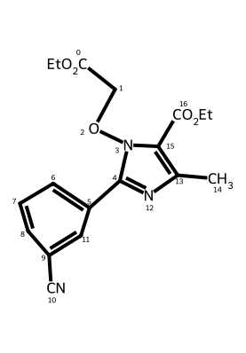 CCOC(=O)COn1c(-c2cccc(C#N)c2)nc(C)c1C(=O)OCC